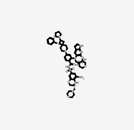 Cc1ccccc1[C@@H]1CCCN1C1CC2(CCN(c3ccc(C(=O)NS(=O)(=O)c4cc5c(c([N+](=O)[O-])c4)N[C@H](CN4CCOCC4)CO5)c(N4C[C@H]5CCOC[C@@H]5Oc5nc6[nH]ccc6cc54)c3)CC2)C1